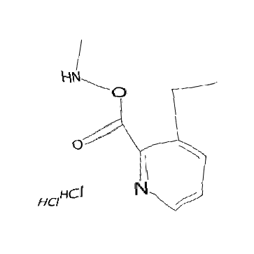 CCc1cccnc1C(=O)ONC.Cl.Cl